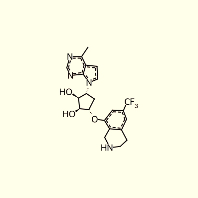 Cc1ncnc2c1ccn2[C@@H]1C[C@H](Oc2cc(C(F)(F)F)cc3c2CNCC3)[C@@H](O)[C@H]1O